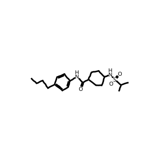 CCCCc1ccc(NC(=O)C2CCC(NS(=O)(=O)C(C)C)CC2)cc1